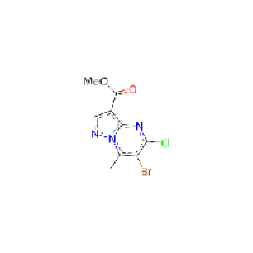 COC(=O)c1cnn2c(C)c(Br)c(Cl)nc12